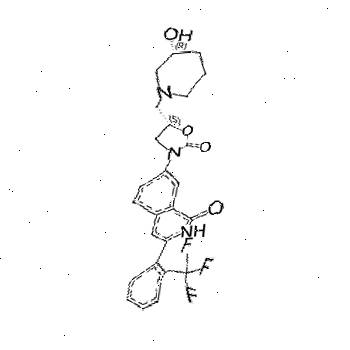 O=C1O[C@@H](CN2CCC[C@@H](O)C2)CN1c1ccc2cc(-c3ccccc3C(F)(F)F)[nH]c(=O)c2c1